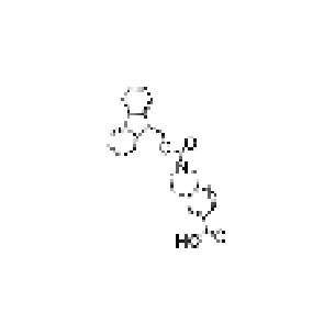 O=C(O)c1cnc2c(c1)CCN(C(=O)OCC1c3ccccc3-c3ccccc31)C2